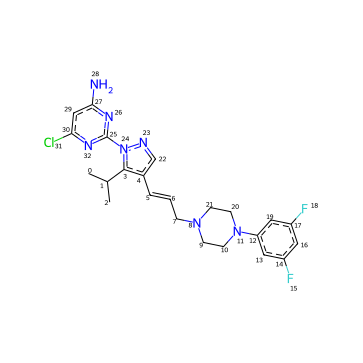 CC(C)c1c(C=CCN2CCN(c3cc(F)cc(F)c3)CC2)cnn1-c1nc(N)cc(Cl)n1